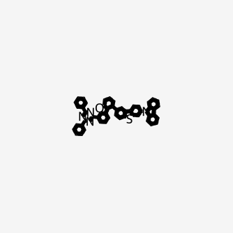 c1ccc(-c2nc(-c3ccccc3)nc(-c3cccc4c3oc3cccc(-c5ccc6sc7cc(-n8c9ccccc9c9ccccc98)ccc7c6c5)c34)n2)cc1